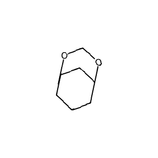 C1CC2CC(C1)OCO2